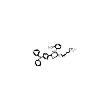 O=C(O)CC/C=C\C[C@@H]1COC(c2ccc(N(c3ccccc3)c3ccccc3)cc2)O[C@@H]1c1ccccc1O